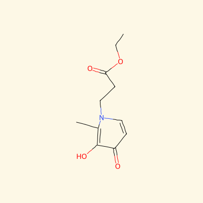 CCOC(=O)CCn1ccc(=O)c(O)c1C